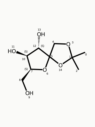 CC1(C)OCC2(O[C@@H](CO)[C@@H](O)[C@@H]2O)O1